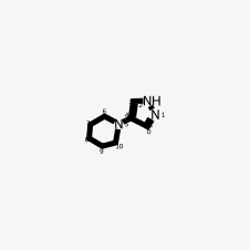 [c]1n[nH]cc1N1CCCCC1